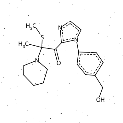 CSC(C)(C(=O)c1nccn1-c1ccc(CO)cc1)N1CCCCC1